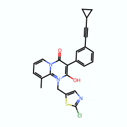 Cc1cccn2c(=O)c(-c3cccc(C#CC4CC4)c3)c(O)[n+](Cc3cnc(Cl)s3)c12